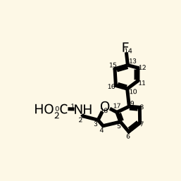 O=C(O)NCC1Cc2cccc(-c3ccc(F)cc3)c2O1